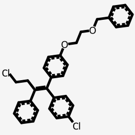 ClCCC(=C(c1ccc(Cl)cc1)c1ccc(OCCOCc2ccccc2)cc1)c1ccccc1